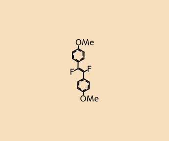 COc1ccc(/C(F)=C(\F)c2ccc(OC)cc2)cc1